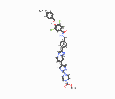 COc1ccc(COc2c(F)cc(C(=O)NCC34CCC(c5cn6ccc(-c7cnc(N8CCN(C(=O)OC(C)(C)C)CC8)nc7)cc6n5)(CC3)CC4)c(F)c2F)cc1